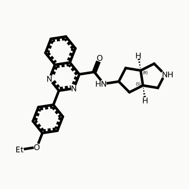 CCOc1ccc(-c2nc(C(=O)NC3C[C@H]4CNC[C@H]4C3)c3ccccc3n2)cc1